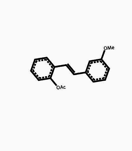 COc1cccc(C=Cc2ccccc2OC(C)=O)c1